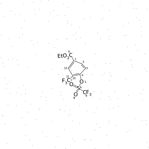 CCOC(=O)c1ccc(OS(=O)(=O)C(F)(F)F)c(C(F)(F)F)c1